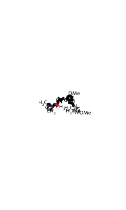 C=CC/C(=C\C=C(/C)c1nc(COc2cc(OC)cc3oc(C(=C)/N=c4/sc(OC)nn4C)cc23)cs1)S(C)(=O)=O